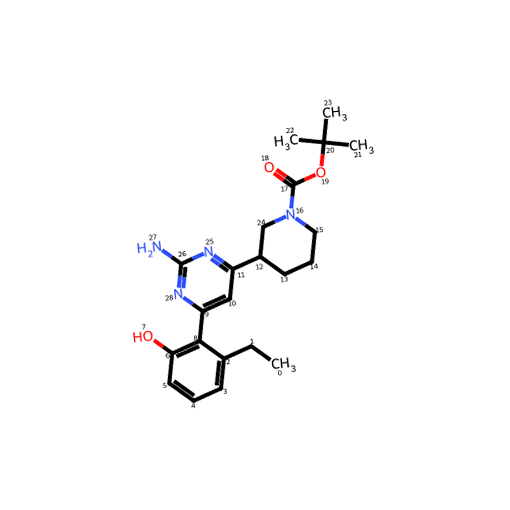 CCc1cccc(O)c1-c1cc(C2CCCN(C(=O)OC(C)(C)C)C2)nc(N)n1